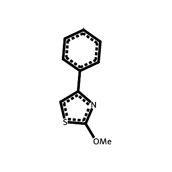 COc1nc(-c2cc[c]cc2)cs1